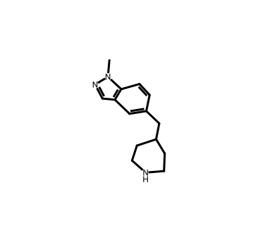 Cn1ncc2cc(CC3CCNCC3)ccc21